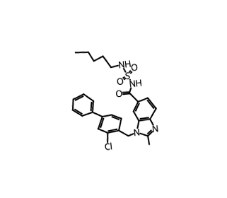 CCCCCNS(=O)(=O)NC(=O)c1ccc2nc(C)n(Cc3ccc(-c4ccccc4)cc3Cl)c2c1